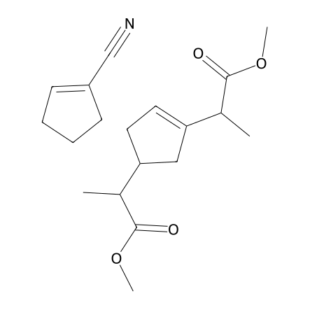 COC(=O)C(C)C1=CCC(C(C)C(=O)OC)C1.N#CC1=CCCC1